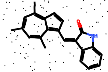 Cc1cc(C)c2ccc(/C=C3\C(=O)Nc4ccccc43)c-2c(C)c1